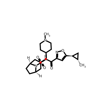 C[C@H]1C[C@@H]1c1cc(C(=O)NC2C[C@H]3CC[C@@H](C2)N3S(=O)(=O)CC2CCN(C)CC2)no1